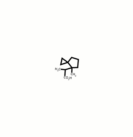 CC(C(=O)O)C1(C)CCCC12CC2